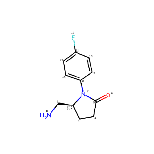 NC[C@@H]1CCC(=O)N1c1ccc(F)cc1